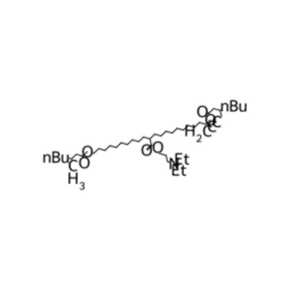 C=C=C=CC(CCCC)CC(=O)OCCCCCCCCCCC(CCCCCCCCCCOC(=O)CC(C)CCCC)C(=O)OCCCN(CC)CC